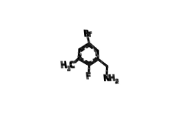 Cc1cc(Br)cc(CN)c1F